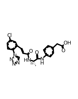 C[C@H](NC(=O)C=Cc1cc(Cl)ccc1-n1cnnn1)C(=O)Nc1ccc(CC(=O)O)cc1